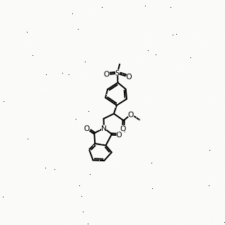 COC(=O)C(CN1C(=O)c2ccccc2C1=O)c1ccc(S(C)(=O)=O)cc1